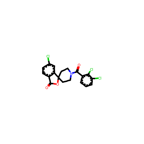 O=C1OC2(CCN(C(=O)c3cccc(Cl)c3Cl)CC2)c2cc(Cl)ccc21